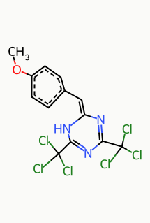 COc1ccc(/C=C2/N=C(C(Cl)(Cl)Cl)N=C(C(Cl)(Cl)Cl)N2)cc1